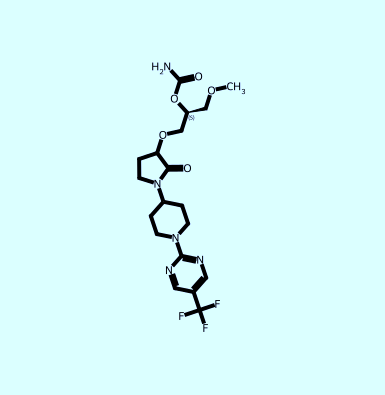 COC[C@@H](COC1CCN(C2CCN(c3ncc(C(F)(F)F)cn3)CC2)C1=O)OC(N)=O